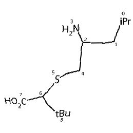 CC(C)CC(N)CSC(C(=O)O)C(C)(C)C